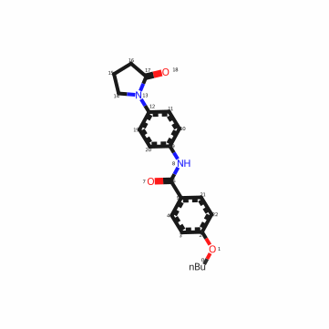 CCCCOc1ccc(C(=O)Nc2ccc(N3CCCC3=O)cc2)cc1